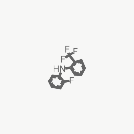 Fc1ccccc1Nc1ccccc1C(F)(F)F